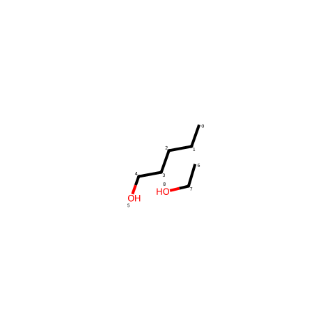 CCCCCO.CCO